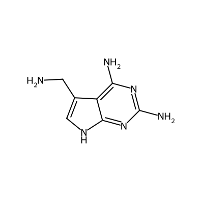 NCc1c[nH]c2nc(N)nc(N)c12